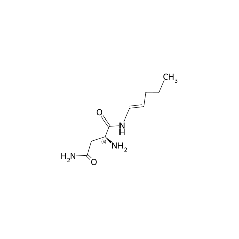 CCCC=CNC(=O)[C@@H](N)CC(N)=O